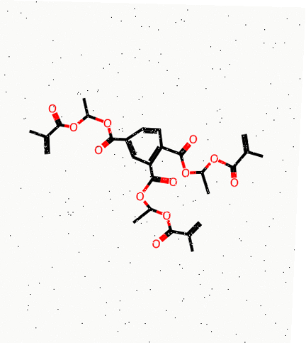 C=C(C)C(=O)OC(C)OC(=O)c1ccc(C(=O)OC(C)OC(=O)C(=C)C)c(C(=O)OC(C)OC(=O)C(=C)C)c1